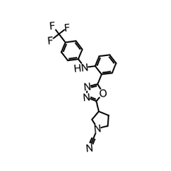 N#CN1CCC(c2nnc(-c3ccccc3Nc3ccc(C(F)(F)F)cc3)o2)C1